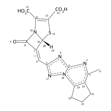 Cc1nc2nc(/C=C3/C(=O)N4C(C(=O)O)=C(C(=O)O)S[C@H]34)nn2c2c1CCC2